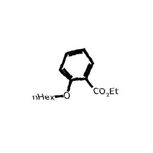 CCCCCCOc1ccccc1C(=O)OCC